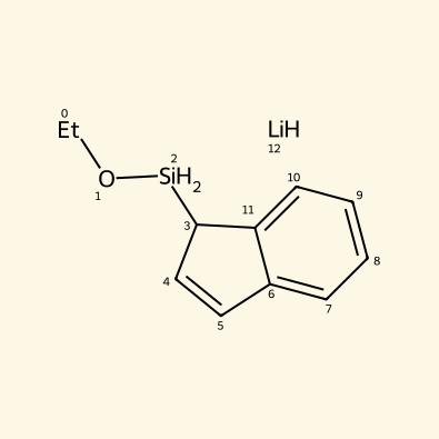 CCO[SiH2]C1C=Cc2ccccc21.[LiH]